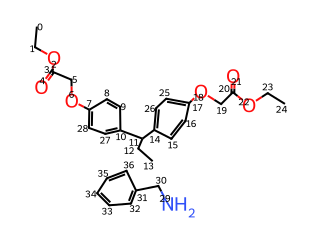 CCOC(=O)COc1ccc(C(CC)c2ccc(OCC(=O)OCC)cc2)cc1.NCc1ccccc1